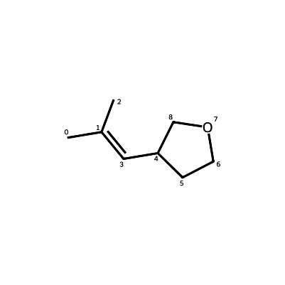 CC(C)=CC1CCOC1